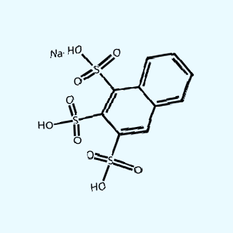 O=S(=O)(O)c1cc2ccccc2c(S(=O)(=O)O)c1S(=O)(=O)O.[Na]